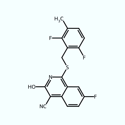 Cc1ccc(F)c(CSc2nc(O)c(C#N)c3ccc(F)cc23)c1F